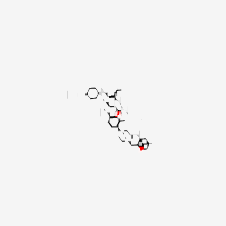 CCc1nc(C(N)=O)c(Nc2ccc(N3CCN(CC4=CC[C@H]5C[C@@H]4C5(C)C)CC3)c(C)c2)nc1N[C@H]1CC[C@H](O)CC1